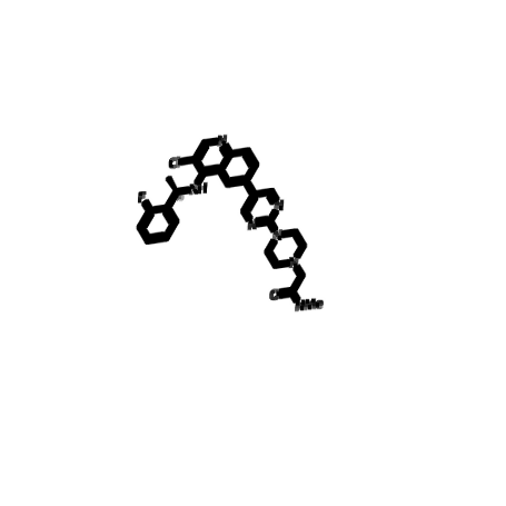 CNC(=O)CN1CCN(c2ncc(-c3ccc4ncc(Cl)c(N[C@H](C)c5ccccc5F)c4c3)cn2)CC1